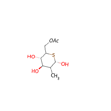 CC(=O)OCC1S[C@H](O)C(C)[C@@H](O)[C@@H]1O